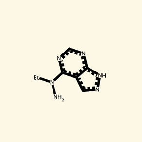 CCN(N)c1ncnc2[nH]ncc12